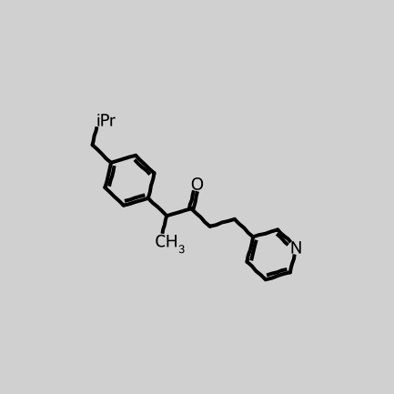 CC(C)Cc1ccc(C(C)C(=O)CCc2cccnc2)cc1